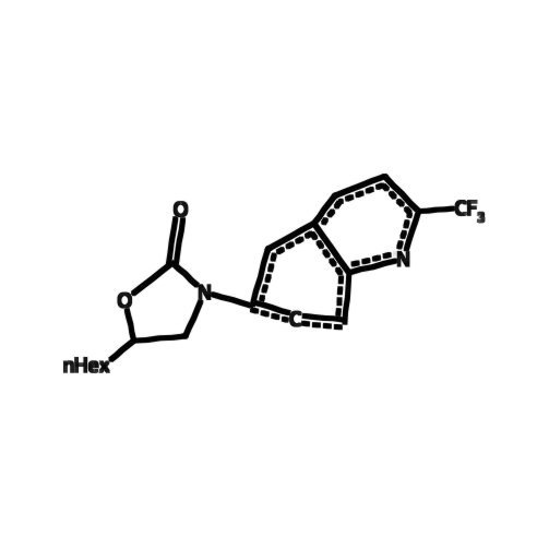 CCCCCCC1CN(c2ccc3nc(C(F)(F)F)ccc3c2)C(=O)O1